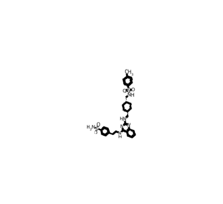 Cc1ccc(S(=O)(=O)NC[C@H]2CC[C@H](CNc3nc(NCCc4ccc(S(N)(=O)=O)cc4)c4ccccc4n3)CC2)cc1